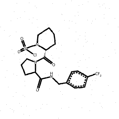 O=C(NCc1ccc(C(F)(F)F)cc1)C1CCCN1C(=O)[C@H]1CCCCN1S(=O)(=O)Cl